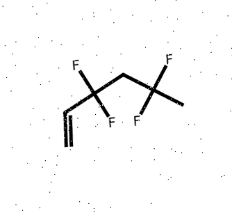 C=CC(F)(F)CC(C)(F)F